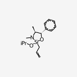 C=CC[Si]1(OC(C)C)O[C@@H](c2ccccc2)[C@H](C)N1C